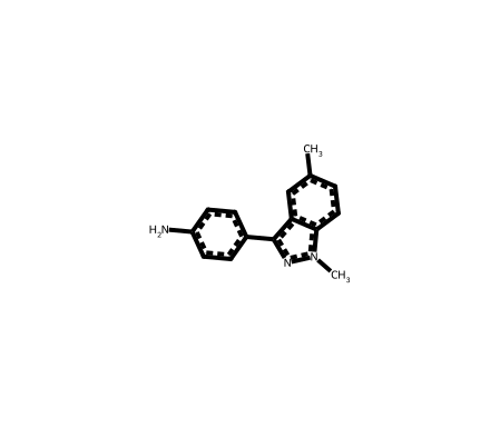 Cc1ccc2c(c1)c(-c1ccc(N)cc1)nn2C